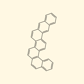 c1ccc2cc3c(ccc4c3ccc3c4ccc4ccc5ccccc5c43)cc2c1